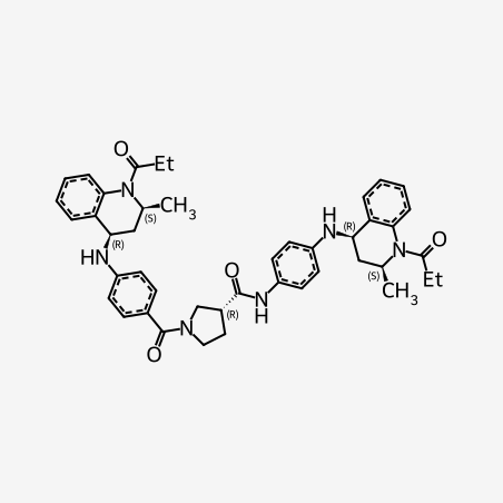 CCC(=O)N1c2ccccc2[C@H](Nc2ccc(NC(=O)[C@@H]3CCN(C(=O)c4ccc(N[C@@H]5C[C@H](C)N(C(=O)CC)c6ccccc65)cc4)C3)cc2)C[C@@H]1C